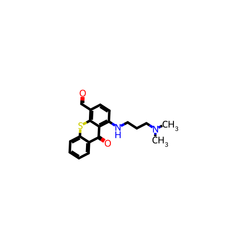 CN(C)CCCNc1ccc(C=O)c2sc3ccccc3c(=O)c12